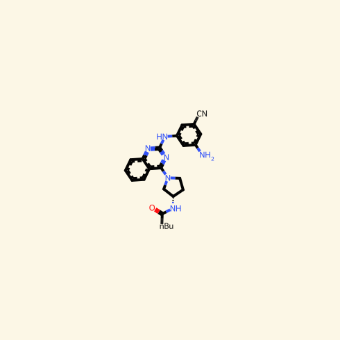 CCCCC(=O)N[C@H]1CCN(c2nc(Nc3cc(N)cc(C#N)c3)nc3ccccc23)C1